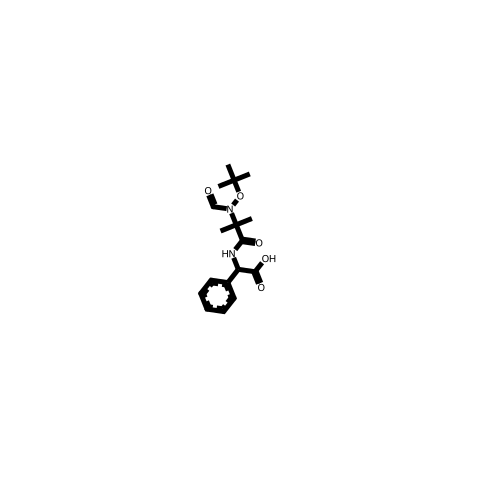 CC(C)(C)ON(C=O)C(C)(C)C(=O)NC(C(=O)O)c1ccccc1